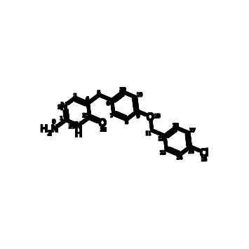 Nc1ncc(Cc2ccc(OCc3ccc(Cl)cc3)cc2)c(=O)[nH]1